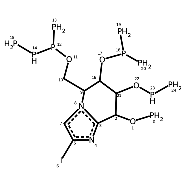 POC1c2nc(I)cn2C(COP(P)PP)C(OP(P)P)C1OPP